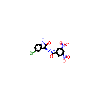 O=C1Nc2ccc(Br)cc2/C1=N/NC(=O)c1cc([N+](=O)[O-])cc([N+](=O)[O-])c1